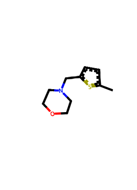 Cc1ccc(CN2CCOCC2)s1